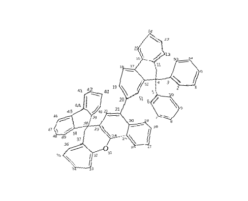 c1ccc(C2(c3ccccc3)c3ccccc3-c3ccc(-c4cc5c(c6ccccc46)Oc4ccccc4C54c5ccccc5-c5ccccc54)cc32)cc1